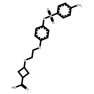 Cc1ccc(S(=O)(=O)Oc2ccc(OCCOC3CC(C(=O)O)C3)cc2)cc1